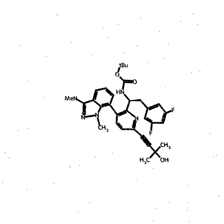 CNc1nn(C)c2c(-c3ccc(C#CC(C)(C)O)nc3[C@H](Cc3cc(F)cc(F)c3)NC(=O)OC(C)(C)C)cccc12